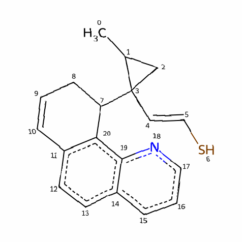 CC1CC1(C=CS)C1CC=Cc2ccc3cccnc3c21